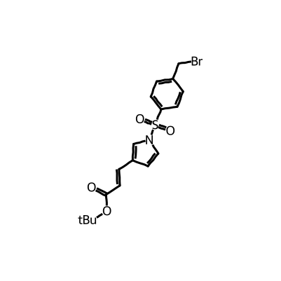 CC(C)(C)OC(=O)/C=C/c1ccn(S(=O)(=O)c2ccc(CBr)cc2)c1